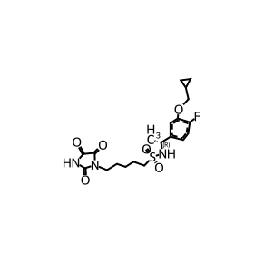 C[C@@H](NS(=O)(=O)CCCCCN1C(=O)NC(=O)C1=O)c1ccc(F)c(OCC2CC2)c1